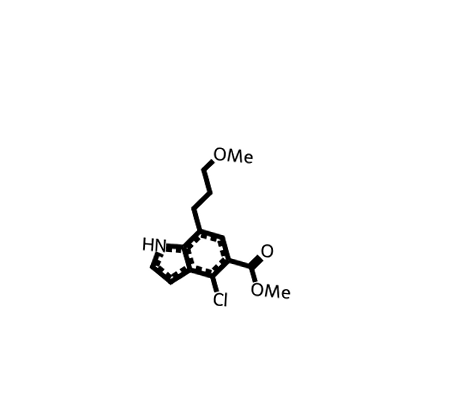 COCCCc1cc(C(=O)OC)c(Cl)c2cc[nH]c12